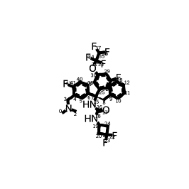 CN(C)Cc1cc([C@@](Cc2ccccc2)(NC(=O)NC2CC(F)(F)C2)c2cc(F)cc(OC(F)(F)C(F)F)c2)ccc1F